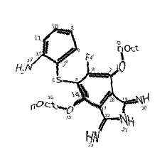 CCCCCCCCOc1c(F)c(Sc2ccccc2N)c(OCCCCCCCC)c2c1C(=N)NC2=N